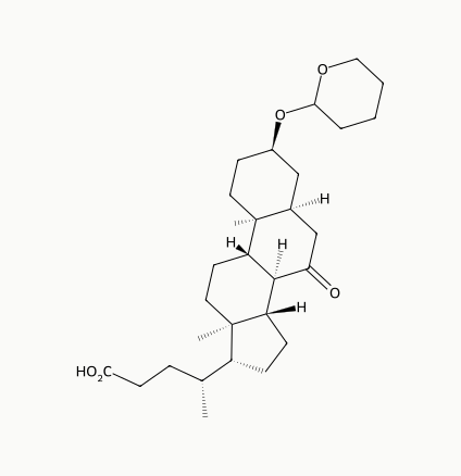 C[C@H](CCC(=O)O)[C@H]1CC[C@H]2[C@@H]3C(=O)C[C@@H]4C[C@H](OC5CCCCO5)CC[C@]4(C)[C@H]3CC[C@]12C